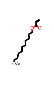 C=CC(=O)OCCCCCCCCCCOC(C)=O